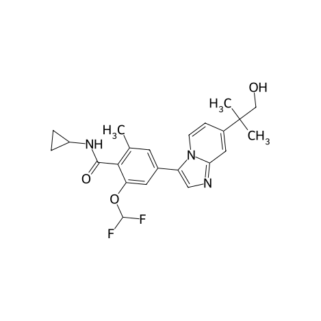 Cc1cc(-c2cnc3cc(C(C)(C)CO)ccn23)cc(OC(F)F)c1C(=O)NC1CC1